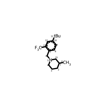 CC1CCCN(Cc2ccc(C(C)(C)C)cc2C(F)(F)F)C1